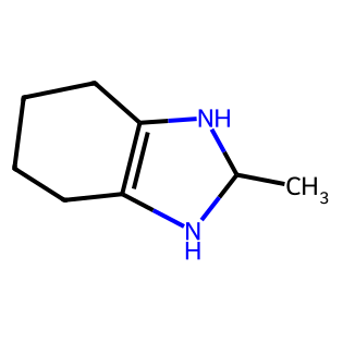 CC1NC2=C(CCCC2)N1